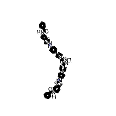 C[n+]1c(/N=N/c2ccc(N3CCN(c4nc(Cl)nc(N5CCN(c6ccc(/N=N/c7sc8cc(NC(=O)c9ccccc9)ccc8[n+]7C)cc6)CC5)n4)CC3)cc2)sc2cc(NC(=O)c3ccccc3)ccc21